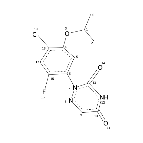 CC(C)Oc1cc(-n2ncc(=O)[nH]c2=O)c(F)cc1Cl